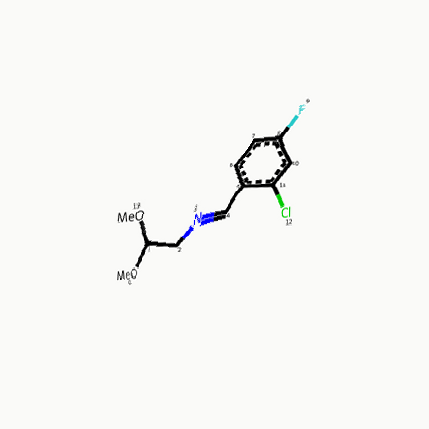 COC(CN=Cc1ccc(F)cc1Cl)OC